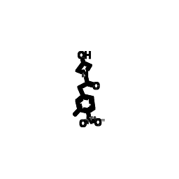 Cc1cc(CC(=O)N2CC(O)C2)ccc1[N+](=O)[O-]